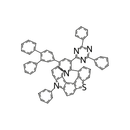 c1ccc(-c2nc(-c3ccccc3)nc(-c3cc(-c4ccc(-c5ccccc5)c(-c5ccccc5)c4)cnc3-c3cccc4sc5ccc6c(c7ccccc7n6-c6ccccc6)c5c34)n2)cc1